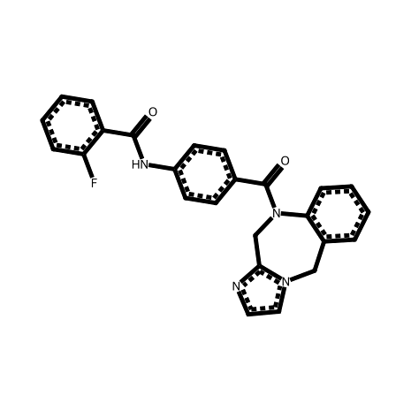 O=C(Nc1ccc(C(=O)N2Cc3nccn3Cc3ccccc32)cc1)c1ccccc1F